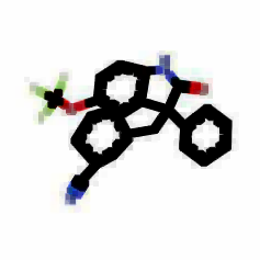 N#Cc1cccc(CC2(c3ccccc3)C(=O)Nc3ccc(OC(F)(F)F)cc32)c1